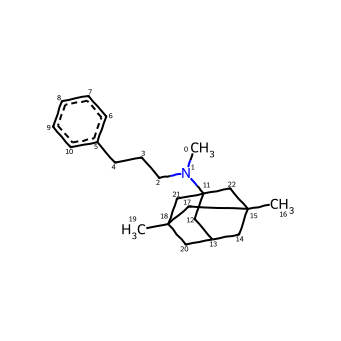 CN(CCCc1ccccc1)C12CC3CC(C)(CC(C)(C3)C1)C2